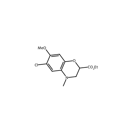 CCOC(=O)C1CN(C)c2cc(Cl)c(OC)cc2O1